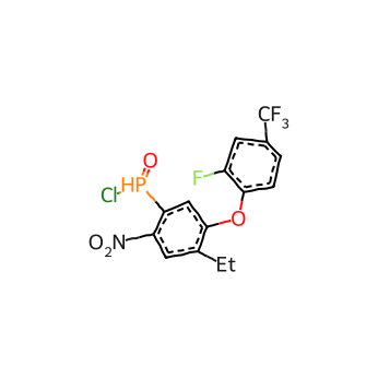 CCc1cc([N+](=O)[O-])c([PH](=O)Cl)cc1Oc1ccc(C(F)(F)F)cc1F